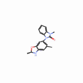 C\C=C(/C=C1/OC(C)N/C1=C/CC)n1c(=O)n(C)c2ccccc21